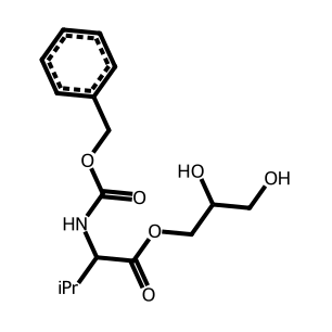 CC(C)C(NC(=O)OCc1ccccc1)C(=O)OCC(O)CO